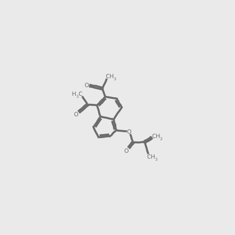 C=C(C)C(=O)Oc1cccc2c(C(C)=O)c(C(C)=O)ccc12